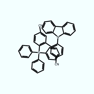 N#Cc1ccc(-n2c3ccccc3c3ccccc32)c(-c2cc(C#N)ccc2[Si](c2ccccc2)(c2ccccc2)c2ccccc2)c1